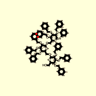 OCC1O[C@@H](OCC2O[C@@H](OCC3O[C@@H](Sc4ccccc4)C(OCc4ccccc4)[C@H](OCc4ccccc4)[C@@H]3OCc3ccccc3)C(OCc3ccccc3)[C@H](OCc3ccccc3)[C@@H]2OCc2ccccc2)C(OCc2ccccc2)[C@H](OCc2ccccc2)[C@@H]1OCc1ccccc1